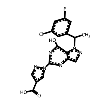 CC(c1cc(F)cc(Cl)c1)n1ncc2nc(-n3cc(C(=O)O)cn3)nc(O)c21